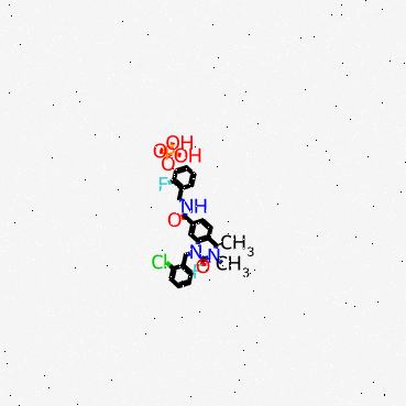 C[C@H]1c2ccc(C(=O)NCc3cccc(OP(=O)(O)O)c3F)cc2N(Cc2c(F)cccc2Cl)C(=O)N1C